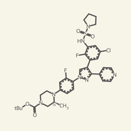 C[C@H]1CN(C(=O)OC(C)(C)C)CCN1c1ccc(-n2cc(-c3cc(Cl)cc(NS(=O)(=O)N4CCCC4)c3F)c(-c3ccncc3)n2)c(F)c1